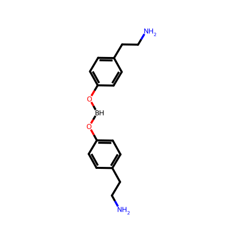 NCCc1ccc(OBOc2ccc(CCN)cc2)cc1